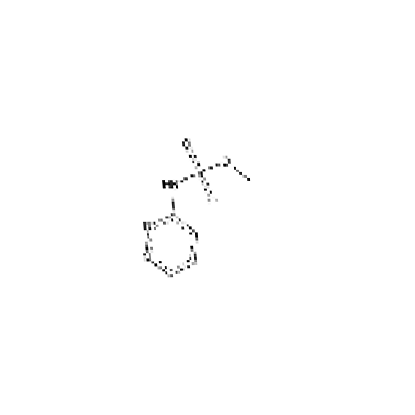 COS(=O)(=O)Nc1cccnn1